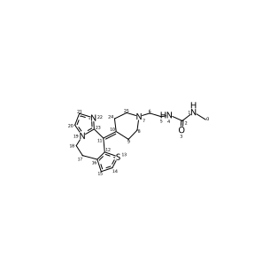 CNC(=O)NCCN1CCC(=C2c3sccc3CCn3ccnc32)CC1